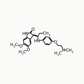 CCC(Nc1ccc(OCCN(C)C)cc1)=C1C(=O)Nc2cc(OC)c(OC)cc21